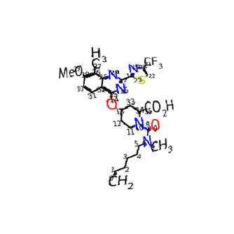 C=CCCCCN(C)C(=O)N1CC[C@H](Oc2nc(-c3nc(C(F)(F)F)cs3)nc3c(C)c(OC)ccc23)C[C@H]1C(=O)O